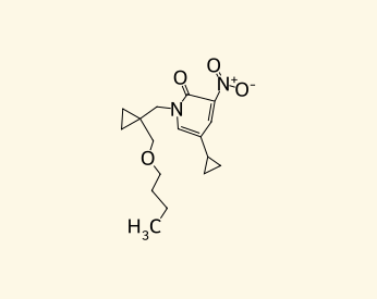 CCCCOCC1(Cn2cc(C3CC3)cc([N+](=O)[O-])c2=O)CC1